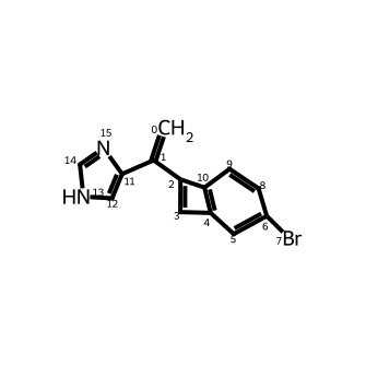 C=C(C1=Cc2cc(Br)ccc21)c1c[nH]cn1